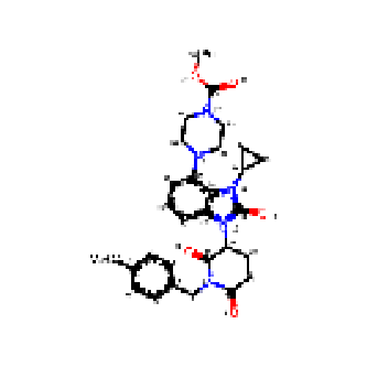 COc1ccc(CN2C(=O)CCC(n3c(=O)n(C4CC4)c4c(N5CCN(C(=O)OC(C)(C)C)CC5)cccc43)C2=O)cc1